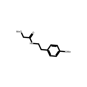 COCC(=O)NCCc1ccc(OC)cc1